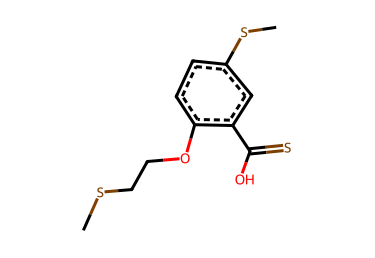 CSCCOc1ccc(SC)cc1C(O)=S